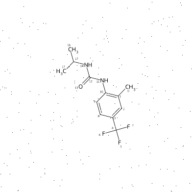 Cc1cc(C(F)(F)F)ccc1NC(=O)NC(C)C